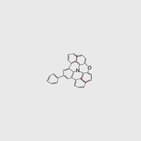 c1ccc(-c2cc(-c3ccccc3)c(N3c4ccccc4Oc4ccccc43)c(-c3ccccc3)c2)cc1